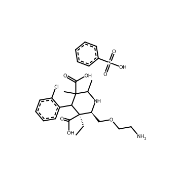 CC[C@]1(C(=O)O)C(c2ccccc2Cl)C(C)(C(=O)O)C(C)N[C@H]1COCCN.O=S(=O)(O)c1ccccc1